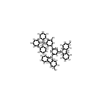 Cc1cc(-c2nc(-n3c4ccccc4c4cc(C)ccc43)cc(-n3c4ccccc4c4cc(C)ccc43)n2)cc([Si](c2ccccc2)(c2ccccc2)c2ccccc2)c1